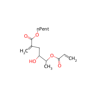 C=CC(=O)OC(C)C(O)CC(=C)C(=O)OCCCCC